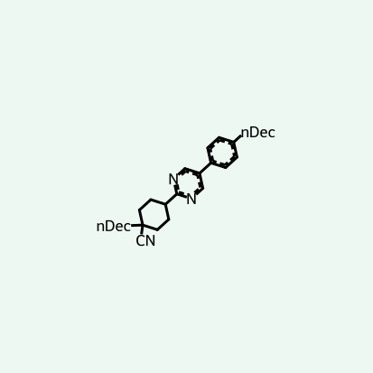 CCCCCCCCCCc1ccc(-c2cnc(C3CCC(C#N)(CCCCCCCCCC)CC3)nc2)cc1